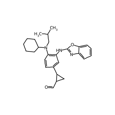 CC(C)CN(c1ccc(C2CC2C=O)cc1Nc1nc2ccccc2o1)C1CCCCC1